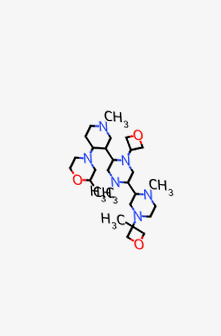 CC1CN(C2CCN(C)CC2C2CN(C)C(C3CN(C4(C)COC4)CCN3C)CN2C2COC2)CCO1